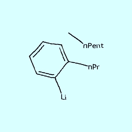 CCCCCC.[Li][c]1ccccc1CCC